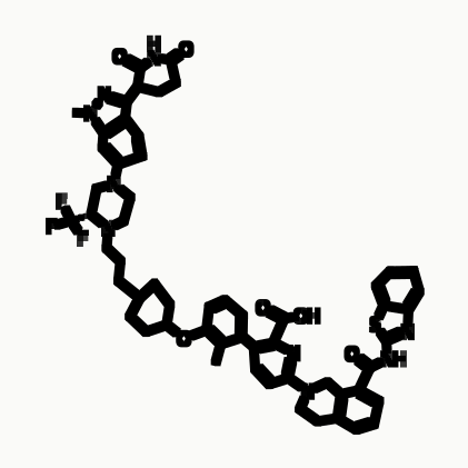 Cc1c(OC2CCC(CCCN3CCN(c4ccc5c(C6CCC(=O)NC6=O)nn(C)c5c4)C[C@H]3C(F)(F)F)CC2)cccc1-c1ccc(N2CCc3cccc(C(=O)Nc4nc5ccccc5s4)c3C2)nc1C(=O)O